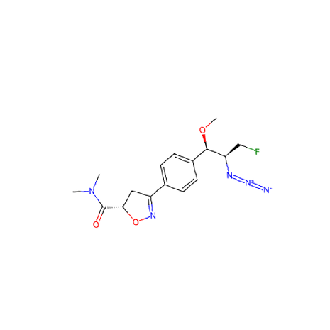 CO[C@H](c1ccc(C2=NO[C@H](C(=O)N(C)C)C2)cc1)[C@@H](CF)N=[N+]=[N-]